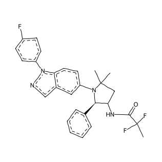 CC(F)(F)C(=O)NC1CC(C)(C)N(c2ccc3c(cnn3-c3ccc(F)cc3)c2)[C@@H]1c1ccccc1